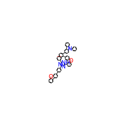 c1ccc(C2N=C(c3ccc(-c4ccc5c(c4)oc4ccccc45)cc3)N=C(c3cccc4oc5ccc(-c6ccccc6-c6ccc7c(c6)c6ccccc6n7-c6ccccc6)cc5c34)N2)cc1